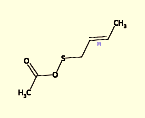 C/C=C/CSOC(C)=O